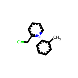 Cc1ccccc1.ClCc1ccccn1